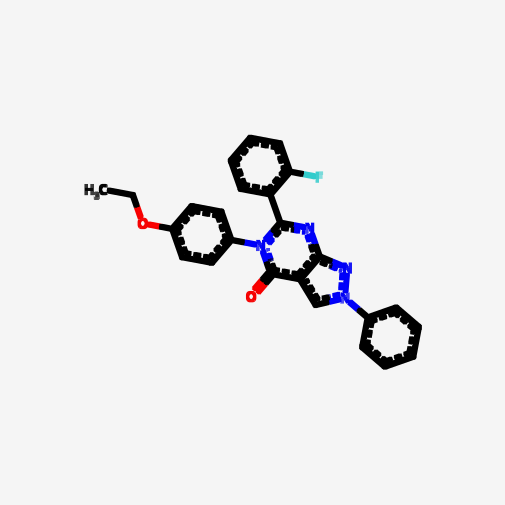 CCOc1ccc(-n2c(-c3ccccc3F)nc3nn(-c4ccccc4)cc3c2=O)cc1